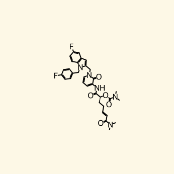 CN(C)C(=O)/C=C/CC[C@H](OC(=O)N(C)C)C(=O)Nc1cccn(Cc2cc3cc(F)ccc3n2Cc2ccc(F)cc2)c1=O